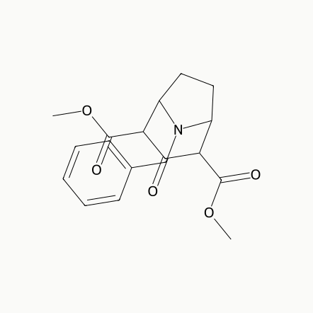 COC(=O)C1C(=O)C(C(=O)OC)C2CCC1N2Cc1ccccc1